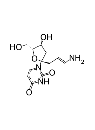 NC=CC[C@]1(n2ccc(=O)[nH]c2=O)C[C@H](O)[C@@H](CO)O1